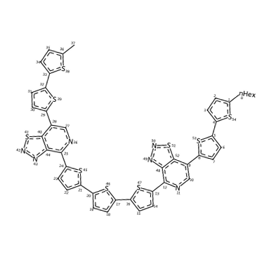 CCCCCCc1ccc(-c2ccc(-c3cnc(-c4ccc(-c5ccc(-c6ccc(-c7ncc(-c8ccc(-c9ccc(C)s9)s8)c8snnc78)s6)s5)s4)c4nnsc34)s2)s1